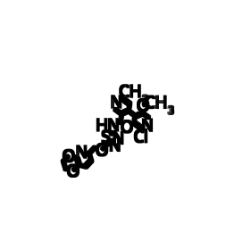 COc1cnc(Cl)cc1-c1cc(C)ncc1C(=O)Nc1nnc(OCc2ccc3c(n2)OCCO3)s1